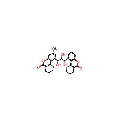 Cc1cc(C(O)C(O)C(O)c2cccc3oc(=O)c4c(c23)CCCC4)c2c3c(c(=O)oc2c1)CCCC3